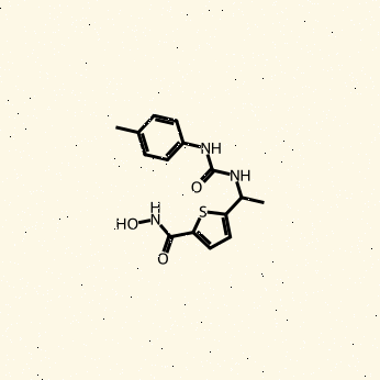 Cc1ccc(NC(=O)NC(C)c2ccc(C(=O)NO)s2)cc1